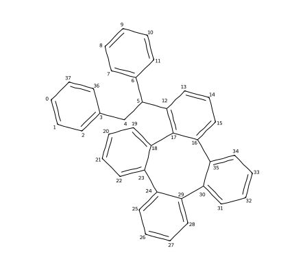 c1ccc(CC(c2ccccc2)c2cccc3c2-c2ccccc2-c2ccccc2-c2ccccc2-3)cc1